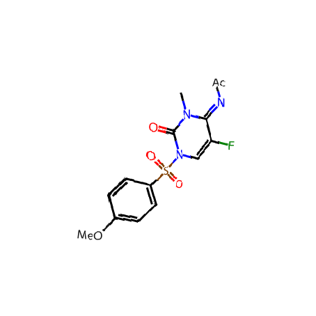 COc1ccc(S(=O)(=O)n2cc(F)c(=NC(C)=O)n(C)c2=O)cc1